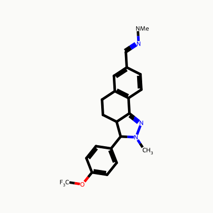 CN/N=C/c1ccc2c(c1)CCC1C2=NN(C)C1c1ccc(OC(F)(F)F)cc1